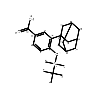 CC(C)(C)[Si](C)(C)Oc1ccc(C(=O)O)cc1C12CC3CC(CC(C3)C1)C2